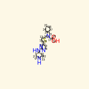 CC1(C)CC(Nc2nccc(-c3ccc(CN(CC(=O)O)Cc4ccccc4)s3)n2)CC(C)(C)N1